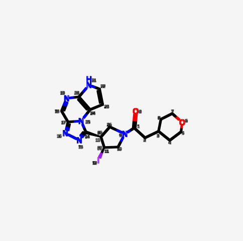 O=C(CC1CCOCC1)N1C[C@@H](I)[C@@H](c2nnc3cnc4[nH]ccc4n23)C1